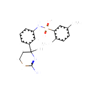 COc1ccc(OC)c(S(=O)(=O)Nc2cccc(C3(C)CCSC(N)=N3)c2)c1